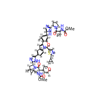 COC(=O)NC(C(=O)N1[C@@H]2C[C@@H]2C[C@H]1c1ncc(-c2ccc3c(c2)cc2n3C(c3cnc(C4CC4)s3)Oc3cc(-c4cnc([C@@H]5CCCN5C(=O)[C@@H](NC(=O)OC)C(C)C)[nH]4)cc(C)c3-2)[nH]1)C1C[C@@H](C)O[C@@H](C)C1